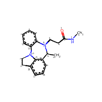 CNC(=O)CCN1c2ccccc2N2CCc3cccc(c32)C1C